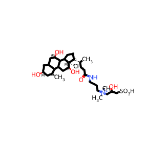 CC(CCC(=O)NCCC[N+](C)(C)CC(O)CS(=O)(=O)O)[C@H]1CCC2C3C(C[C@H](O)[C@@]21C)C1C(C[C@H](O)C[C@H]1C)C[C@H]3O